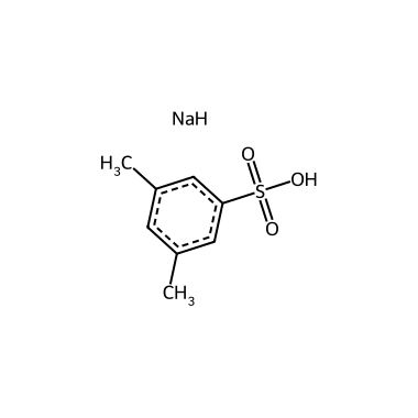 Cc1cc(C)cc(S(=O)(=O)O)c1.[NaH]